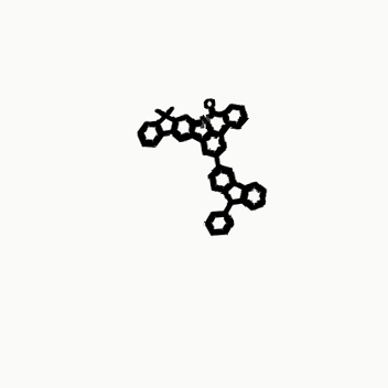 CC1(C)c2ccccc2-c2cc3c4cc(-c5ccc6c(c5)-c5ccccc5C6c5ccccc5)cc5c6ccccc6c(=O)n(c3cc21)c54